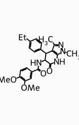 CCc1ccc(C2c3c(C)nn(C)c3NC(=O)C2NC(=O)c2ccc(OC)c(OC)c2)cc1